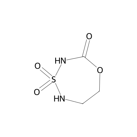 O=C1NS(=O)(=O)NCCO1